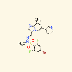 Cc1cc(-c2cccnc2)cn2c(C=NN(C)S(=O)(=O)c3c(F)cc(Br)cc3F)cnc12